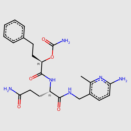 Cc1nc(N)ccc1CNC(=O)[C@H](CCC(N)=O)NC(=O)[C@@H](CCc1ccccc1)OC(N)=O